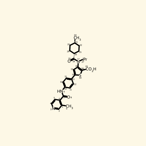 Cc1cnccc1C(=O)Nc1ccc(-c2cc(N(C(=O)[C@H]3CC[C@H](C)CC3)C(C)C)c(C(=O)O)s2)cc1